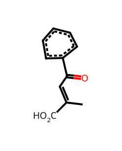 C/C(=C\C(=O)c1ccccc1)C(=O)O